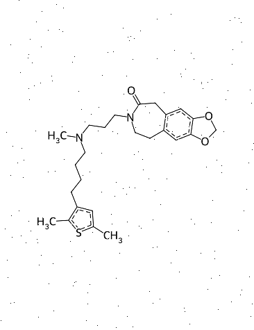 Cc1cc(CCCCN(C)CCCN2CCc3cc4c(cc3CC2=O)OCO4)c(C)s1